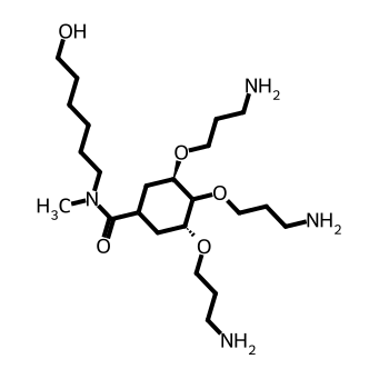 CN(CCCCCCO)C(=O)C1C[C@@H](OCCCN)C(OCCCN)[C@H](OCCCN)C1